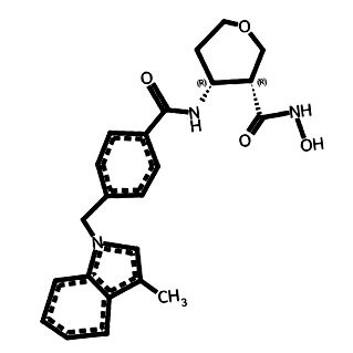 Cc1cn(Cc2ccc(C(=O)N[C@@H]3CCOC[C@@H]3C(=O)NO)cc2)c2ccccc12